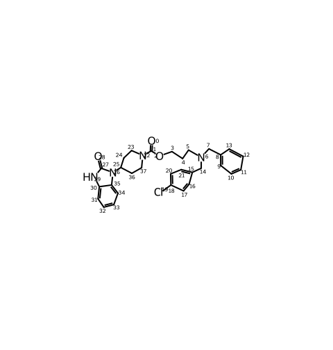 O=C(OCCCN(Cc1ccccc1)Cc1ccc(Cl)cc1)N1CCC(n2c(=O)[nH]c3ccccc32)CC1